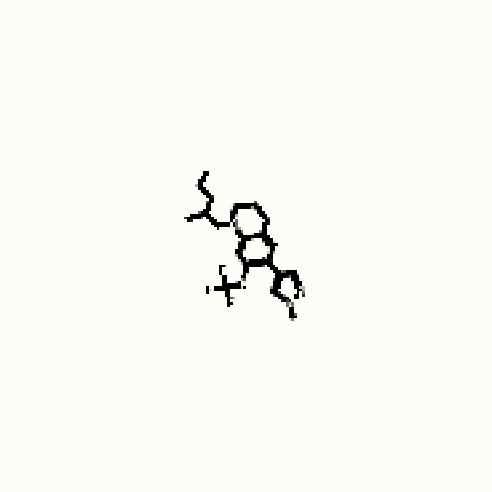 CCCC(C)CN1CCCc2cc(-c3cnn(C)c3)c(OC(F)(F)F)cc21